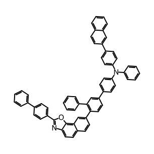 c1ccc(-c2ccc(-c3nc4ccc5ccc(-c6ccc(-c7ccc(N(c8ccccc8)c8ccc(-c9ccc%10ccccc%10c9)cc8)cc7)cc6-c6ccccc6)cc5c4o3)cc2)cc1